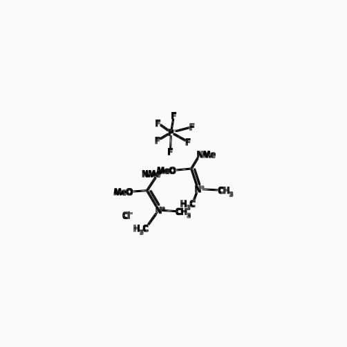 CNC(OC)=[N+](C)C.CNC(OC)=[N+](C)C.F[P-](F)(F)(F)(F)F.[Cl-]